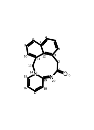 O=C1Cc2cccc3cccc(c23)CN2C=CC=C/C2=N/1